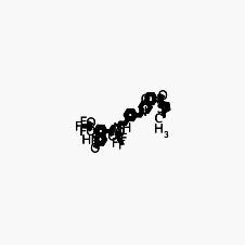 CCc1ccc(C(=O)N2CCOC3(CCN(Cc4cccc(CCNCC(OC(=O)C(F)(F)F)c5ccc(OC(=O)C(F)(F)F)c6[nH]c(=O)ccc56)c4)CC3)C2)s1